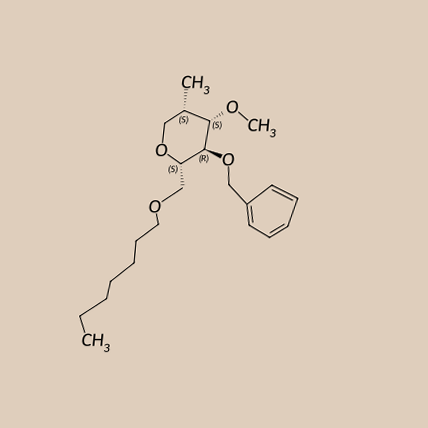 CCCCCCCOC[C@@H]1OC[C@H](C)[C@H](OC)[C@H]1OCc1ccccc1